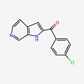 O=C(c1ccc(Cl)cc1)c1cc2ccncc2[nH]1